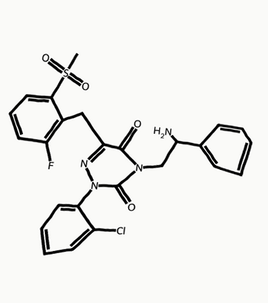 CS(=O)(=O)c1cccc(F)c1Cc1nn(-c2ccccc2Cl)c(=O)n(CC(N)c2ccccc2)c1=O